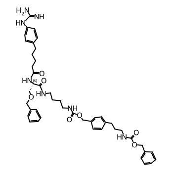 N=C(N)Nc1ccc(CCCCC(=O)N[C@@H](COCc2ccccc2)C(=O)NCCCCNC(=O)OCc2ccc(CCCNC(=O)OCc3ccccc3)cc2)cc1